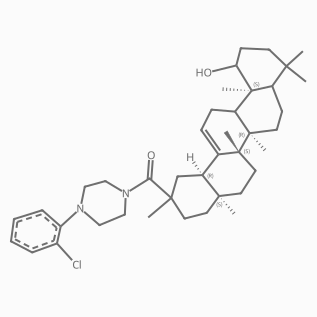 CC1(C(=O)N2CCN(c3ccccc3Cl)CC2)CC[C@]2(C)CC[C@]3(C)C(=CCC4[C@@]5(C)C(O)CCC(C)(C)C5CC[C@]43C)[C@@H]2C1